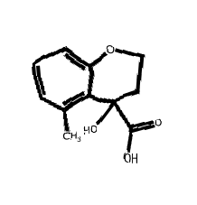 Cc1cccc2c1C(O)(C(=O)O)CCO2